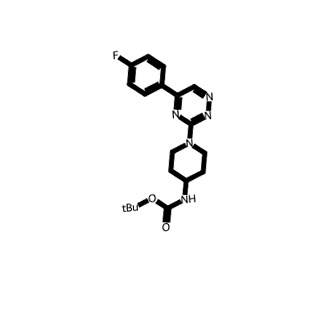 CC(C)(C)OC(=O)NC1CCN(c2nncc(-c3ccc(F)cc3)n2)CC1